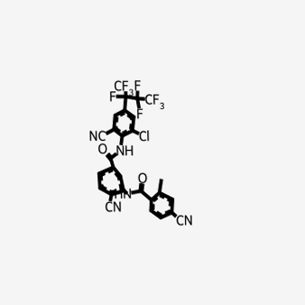 Cc1cc(C#N)ccc1C(=O)Nc1cc(C(=O)Nc2c(Cl)cc(C(F)(C(F)(F)F)C(F)(F)C(F)(F)F)cc2C#N)ccc1C#N